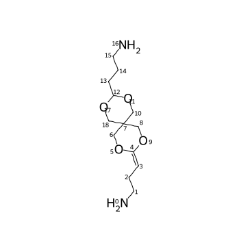 NCCC=C1OCC2(CO1)COC(CCCN)OC2